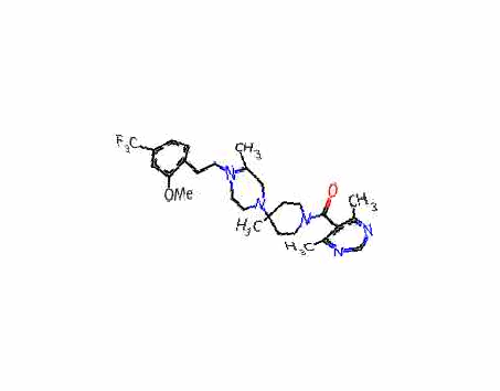 COc1cc(C(F)(F)F)ccc1CCN1CCN(C2(C)CCN(C(=O)c3c(C)ncnc3C)CC2)CC1C